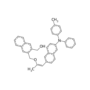 CC(=Cc1ccc2cc(N(c3ccccc3)c3ccc(C)cc3)ccc2c1)OCc1cc2ccccc2cc1CO